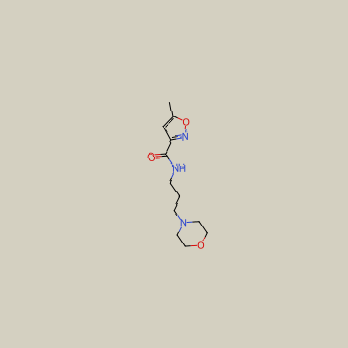 Cc1cc(C(=O)NCCCN2CCOCC2)no1